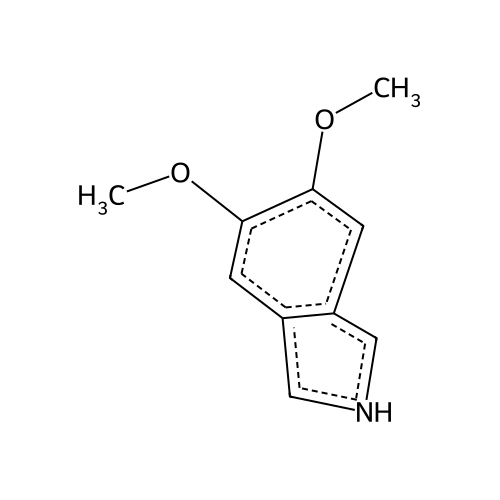 COc1cc2c[nH]cc2cc1OC